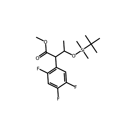 COC(=O)C(c1cc(F)c(F)cc1F)C(C)O[Si](C)(C)C(C)(C)C